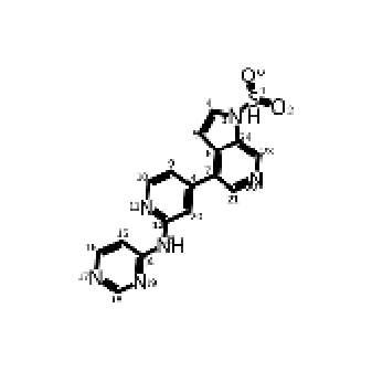 O=[SH](=O)n1ccc2c(-c3ccnc(Nc4ccncn4)c3)cncc21